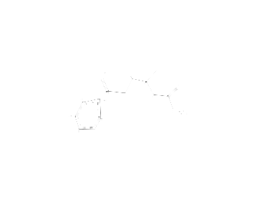 COC(=O)CC(C)CCC(=O)c1ccccc1